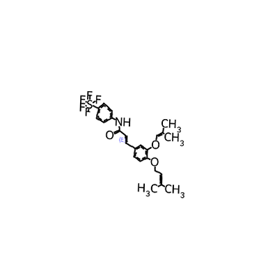 CC(C)=CCOc1ccc(/C=C/C(=O)Nc2ccc(S(F)(F)(F)(F)F)cc2)cc1OC=C(C)C